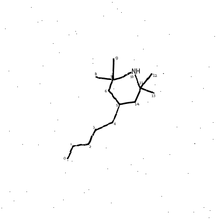 [CH2]CCCCC1CC(C)(C)NC(C)(C)C1